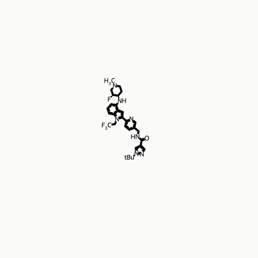 CN1CC[C@@H](Nc2cccc3c2cc(-c2ccc(CNC(=O)c4cnn(C(C)(C)C)c4)cn2)n3CC(F)(F)F)[C@@H](F)C1